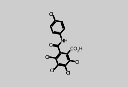 O=C(O)c1c(Cl)c(Cl)c(Cl)c(Cl)c1C(=O)Nc1ccc(Cl)cc1